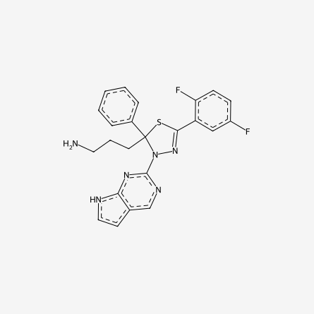 NCCCC1(c2ccccc2)SC(c2cc(F)ccc2F)=NN1c1ncc2cc[nH]c2n1